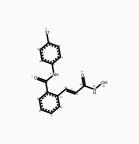 CCc1ccc(NC(=O)c2ccccc2/C=C/C(=O)NO)cc1